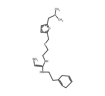 CN(C)Cc1ccc(CSCCNC(=C[N+](=O)[O-])NCCC2=CCC=CC2)o1